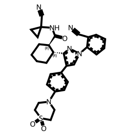 N#Cc1ccccc1-n1cc(-c2ccc(N3CCS(=O)(=O)CC3)cc2)c([C@@H]2CCCC[C@H]2C(=O)NC2(C#N)CC2)n1